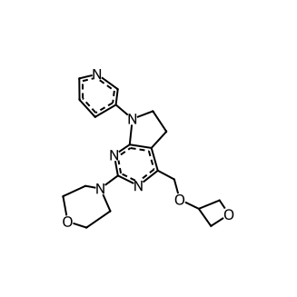 c1cncc(N2CCc3c(COC4COC4)nc(N4CCOCC4)nc32)c1